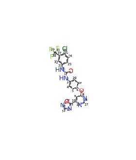 O=C(Nc1ccc(Oc2cc(-c3ncno3)ncn2)cc1)Nc1ccc(Cl)c(C(F)(F)F)c1